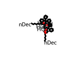 CCCCCCCCCCCCCCCCCC[C@@](O)(C(O)C(c1ccccc1)(c1ccccc1)c1ccccc1)[C@@H](O)[C@H](O)[C@@](O)(CCCCCCCCCCCCCCCCCC)C(O)C(c1ccccc1)(c1ccccc1)c1ccccc1